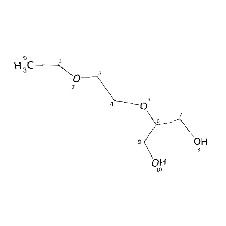 CCOCCOC(CO)CO